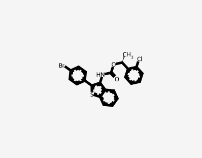 C[C@@H](OC(=O)Nc1c(-c2ccc(Br)cc2)sc2ccccc12)c1ccccc1Cl